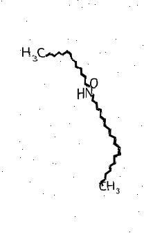 CCCCCC/C=C\CCCCCCCC(=O)NCCCCCCCCCCCC/C=C\CCCCCCCC